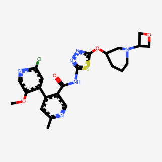 COc1cnc(Cl)cc1-c1cc(C)ncc1C(=O)Nc1nnc(OC2CCCN(C3COC3)C2)s1